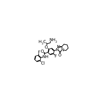 CC(CN)Oc1cc(-n2nc3n(c2=O)CCCC3)c(F)cc1C(=O)Nc1c(F)cccc1Cl